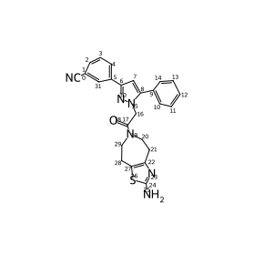 N#Cc1cccc(-c2cc(-c3ccccc3)n(CC(=O)N3CCc4nc(N)sc4CC3)n2)c1